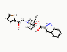 N[C@@H](Cc1ccccc1)C(=O)O[C@H]1C[N+]2(CC(=O)c3cccs3)CCC1CC2